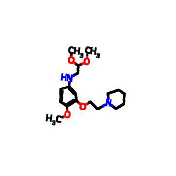 COc1ccc(NCC(OC)OC)cc1OCCN1CCCCC1